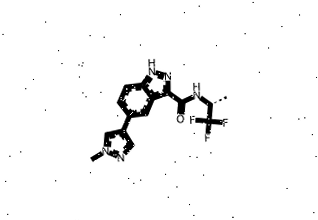 C[C@@H](NC(=O)c1n[nH]c2ccc(-c3cnn(C)c3)cc12)C(F)(F)F